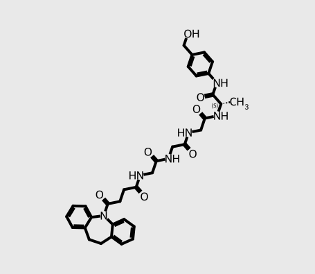 C[C@H](NC(=O)CNC(=O)CNC(=O)CNC(=O)CCC(=O)N1c2ccccc2CCc2ccccc21)C(=O)Nc1ccc(CO)cc1